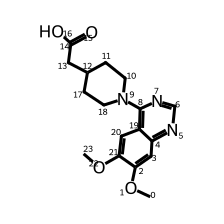 COc1cc2ncnc(N3CCC(CC(=O)O)CC3)c2cc1OC